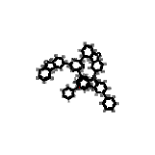 c1ccc(-c2ccc3c(c2)c2cc(-c4ccccc4)ccc2n3-c2ccc3oc4cccc(-c5nc(-c6ccccc6)nc(-c6ccc7oc8ccccc8c7c6)n5)c4c3c2)cc1